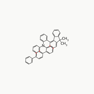 CC1(C)c2ccccc2-c2c(-c3ccccc3N(c3ccccc3)c3ccccc3-c3ccc(-c4ccccc4)cc3)cccc21